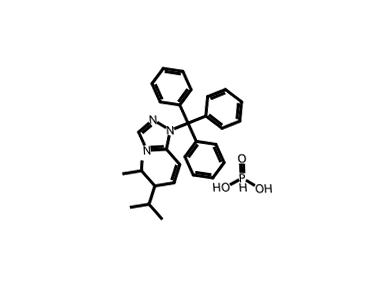 CC(C)C(C=Cc1ncnn1C(c1ccccc1)(c1ccccc1)c1ccccc1)C(C)C.O=[PH](O)O